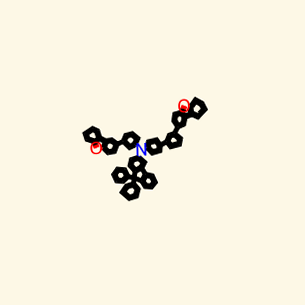 c1ccc(C2(c3ccccc3)c3ccccc3-c3cc(N(c4ccc(-c5cccc(-c6ccc7oc8ccccc8c7c6)c5)cc4)c4cccc(-c5ccc6oc7ccccc7c6c5)c4)ccc32)cc1